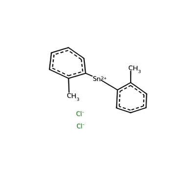 Cc1cccc[c]1[Sn+2][c]1ccccc1C.[Cl-].[Cl-]